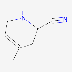 CC1=CCNC(C#N)C1